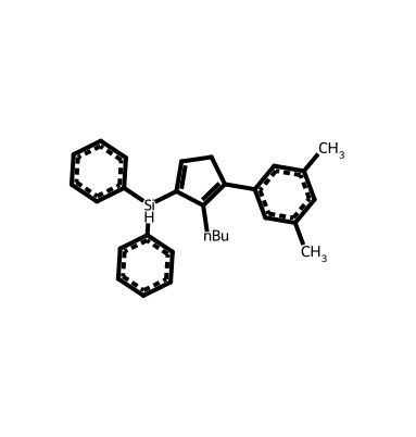 CCCCC1=C(c2cc(C)cc(C)c2)CC=C1[SiH](c1ccccc1)c1ccccc1